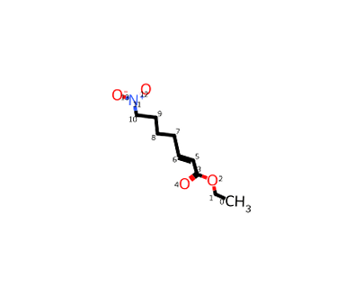 CCOC(=O)C=CCCCC[N+](=O)[O-]